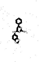 Nc1nc(Nc2ccc3c(c2)OCO3)cc(-c2ccccc2)n1